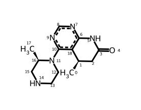 C[C@@H]1CC(=O)Nc2ncnc(N3CCNC[C@H]3C)c21